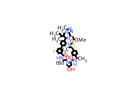 COC(=O)C[C@@H]1N=C(c2ccc(-c3cc(F)cc(C(=O)NC(C(=O)N4C[C@H](O)C[C@H]4C(=O)N[C@@H](C)c4ccc(-c5scnc5C)cc4)C(C)(C)C)c3)cc2)c2c(sc(C)c2C)-n2c(C)nnc21